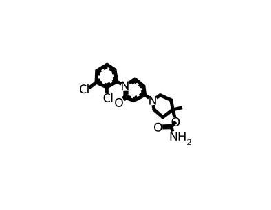 CC1(OC(N)=O)CCN(c2ccn(-c3cccc(Cl)c3Cl)c(=O)c2)CC1